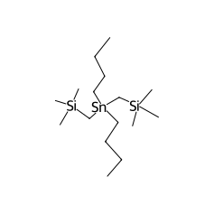 CCC[CH2][Sn]([CH2]CCC)([CH2][Si](C)(C)C)[CH2][Si](C)(C)C